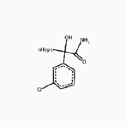 CCCCCCCC(O)(C(N)=O)c1cccc(Cl)c1